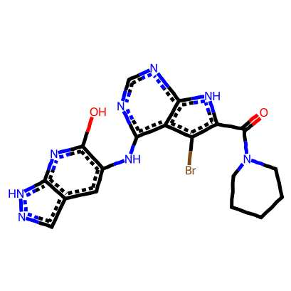 O=C(c1[nH]c2ncnc(Nc3cc4cn[nH]c4nc3O)c2c1Br)N1CCCCC1